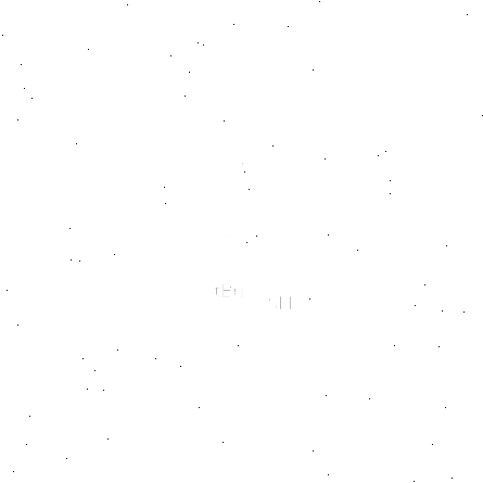 CC(C)(C)C1(C)C=CC=CC1S